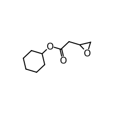 O=C(CC1CO1)OC1CCCCC1